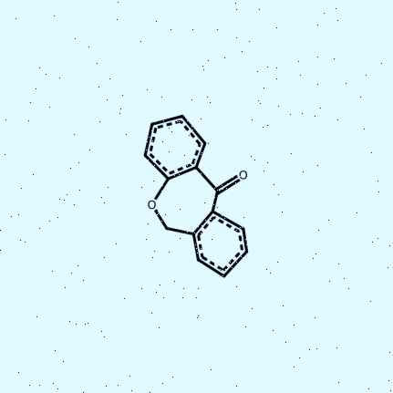 O=C1c2[c]cccc2OCc2ccccc21